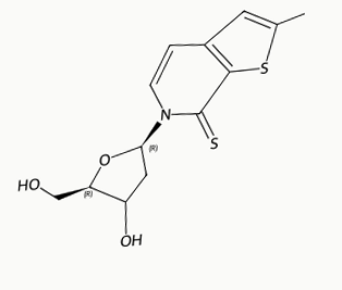 Cc1cc2ccn([C@H]3CC(O)[C@@H](CO)O3)c(=S)c2s1